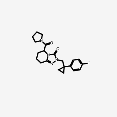 O=C(C1CCCc2nn(CC3(c4ccc(F)cc4)CC3)c(=O)n21)N1CCCC1